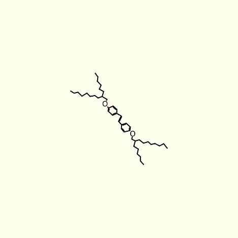 CCCCCCCCC(CCCCCC)COc1ccc(/C=C/c2ccc(OCC(CCCCCC)CCCCCCCC)cc2)cc1